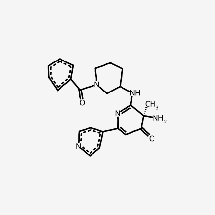 C[C@]1(N)C(=O)C=C(c2ccncc2)N=C1NC1CCCN(C(=O)c2ccccc2)C1